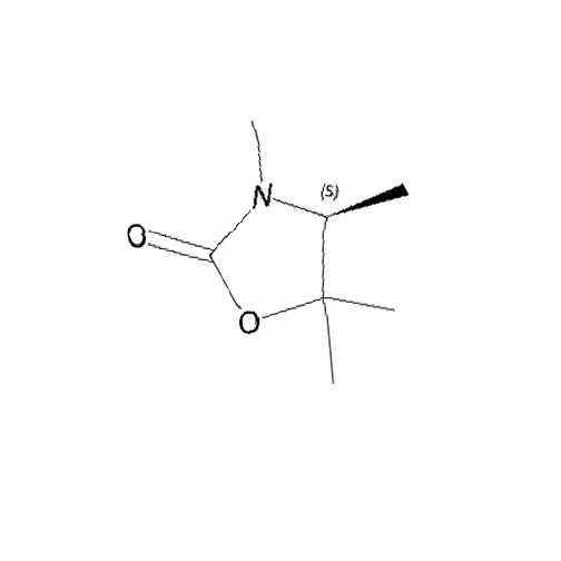 C[C@@H]1N(C)C(=O)OC1(C)C